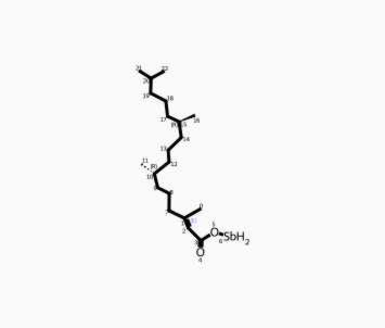 C/C(=C\C(=O)[O][SbH2])CCC[C@H](C)CCC[C@H](C)CCCC(C)C